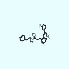 O=C(CCc1cccc2ncc(-c3cccc(F)c3)cc12)NCCc1ccccc1